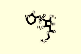 CCOC(=O)c1[nH]c(C)c(S(=O)(=O)NC2CCCCNC2=O)c1C